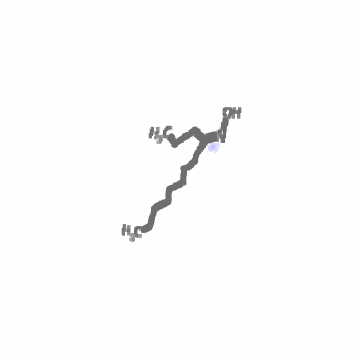 CCCCCCCC/C(CCC)=N/O